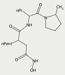 CCCCCC(CC(=O)NO)C(=O)NC(CCC)C(=O)N1CCCC1C